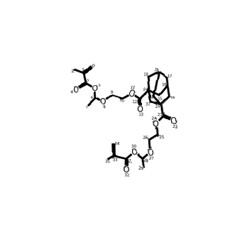 C=C(C)C(=O)OC(C)OCCOC(=O)C12CC3CC(C1)CC(C(=O)OCCOC(C)OC(=O)C(=C)C)(C3)C2